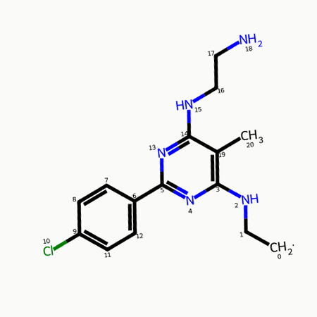 [CH2]CNc1nc(-c2ccc(Cl)cc2)nc(NCCN)c1C